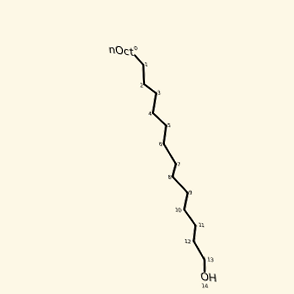 CCCCCCCCCCCCCCCCCCCC[CH]O